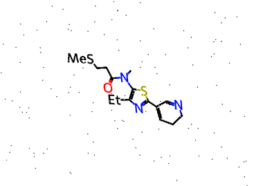 CCc1nc(C2=CCCN=C2)sc1N(C)C(=O)CCSC